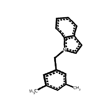 Cc1cc(C)cc(Cn2ccc3ccccc32)c1